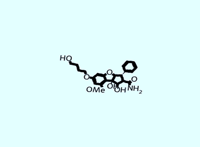 COc1cc(OCCCCO)cc2c1[C@]1(O)C(O)C(C(N)=O)[C@@H](c3ccccc3)C1O2